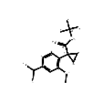 COc1cc(C(F)F)ccc1C1(C(=O)OC(C)(C)C)CC1